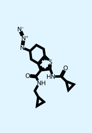 [N-]=[N+]=NC1CCc2sc(NC(=O)C3CC3)c(C(=O)NCC3CC3)c2C1